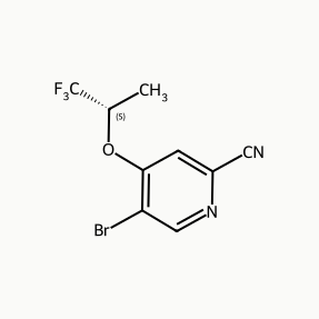 C[C@H](Oc1cc(C#N)ncc1Br)C(F)(F)F